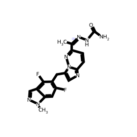 C/C(=N/NC(N)=O)c1ccc2ncc(Cc3c(F)cc4c(cnn4C)c3F)n2n1